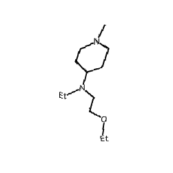 CCOCCN(CC)C1CCN(C)CC1